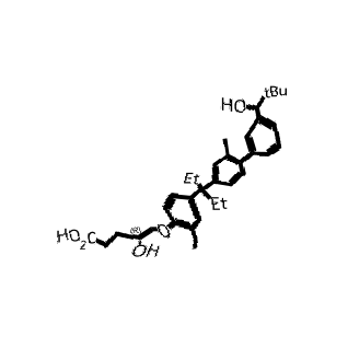 CCC(CC)(c1ccc(OC[C@H](O)CCC(=O)O)c(C)c1)c1ccc(-c2cccc(C(O)C(C)(C)C)c2)c(C)c1